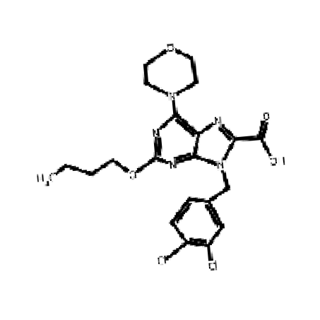 CCCCOc1nc(N2CCOCC2)c2nc(C(=O)O)n(Cc3ccc(Cl)c(Cl)c3)c2n1